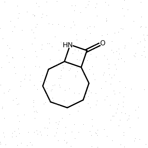 O=C1NC2CCCCCCC12